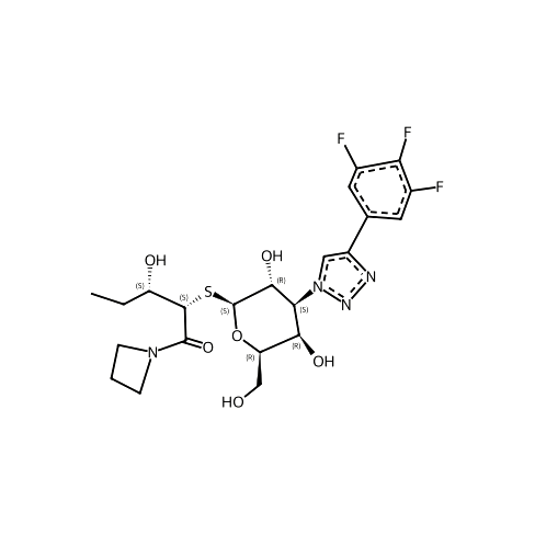 CC[C@H](O)[C@H](S[C@@H]1O[C@H](CO)[C@H](O)[C@H](n2cc(-c3cc(F)c(F)c(F)c3)nn2)[C@H]1O)C(=O)N1CCC1